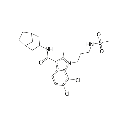 Cc1c(C(=O)NC2CC3CCC(C3)C2)c2ccc(Cl)c(Cl)c2n1CCCNS(C)(=O)=O